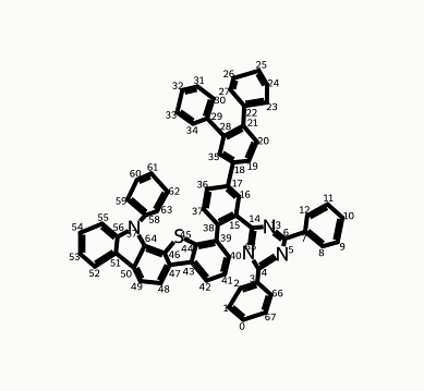 c1ccc(-c2nc(-c3ccccc3)nc(-c3cc(-c4ccc(-c5ccccc5)c(-c5ccccc5)c4)ccc3-c3cccc4c3sc3c4ccc4c5ccccc5n(-c5ccccc5)c43)n2)cc1